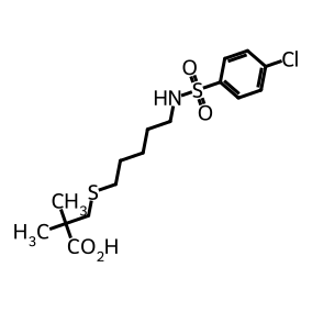 CC(C)(CSCCCCCNS(=O)(=O)c1ccc(Cl)cc1)C(=O)O